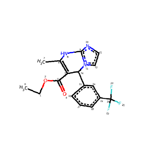 CCOC(=O)C1=C(C)Nc2nccn2C1c1cccc(C(F)(F)F)c1